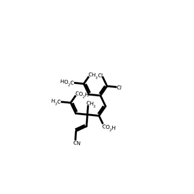 CC(=CC(C=C(C(=O)O)C(C)(C=CC#N)C=C(C)C(=O)O)=C(Cl)Cl)C(=O)O